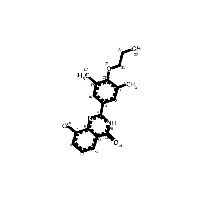 Cc1cc(-c2nc3c(Cl)cccc3c(=O)[nH]2)cc(C)c1OCCO